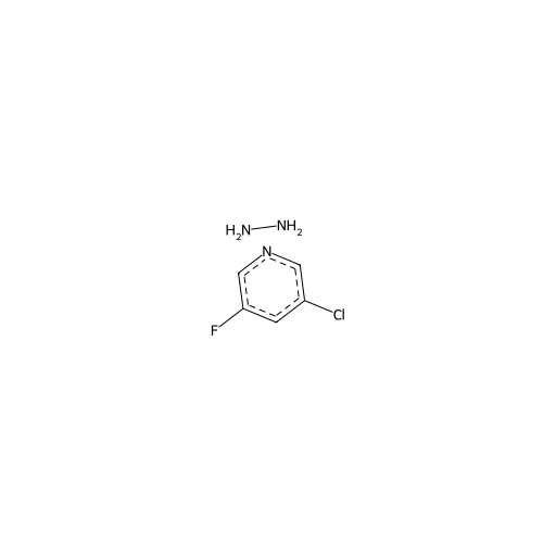 Fc1cncc(Cl)c1.NN